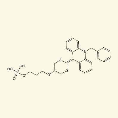 O=P(O)(O)OCCCOC1CSC(=C2c3ccccc3N(Cc3ccccc3)c3ccccc32)SC1